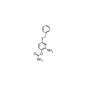 NC(=O)Oc1ccc(SCc2ccccc2)nc1N